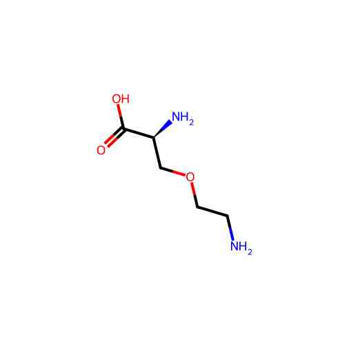 NCCOC[C@H](N)C(=O)O